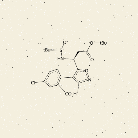 Cc1noc([C@H](CC(=O)OC(C)(C)C)N[S@@+]([O-])C(C)(C)C)c1-c1ccc(Cl)cc1C(=O)O